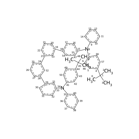 CC(C)(C)c1ccc(N(c2ccccc2)c2ccc(-c3cccc(-c4cccc(-c5cccc(N(c6ccccc6)c6ccc(C(C)(C)C)cc6)c5)c4)c3)cc2)cc1